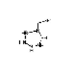 CC(C)CN1BNBNB1